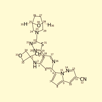 CC1(Nc2cc(-c3ccc4cc(C#N)cnn34)ncc2-c2nnc(N3C[C@H]4CC[C@@H](C3)O4)s2)COC1